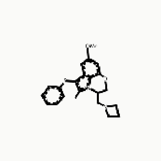 COc1cc2c3c(c1)c(Sc1ccccc1)c(C)n3C(CN1CCC1)CO2